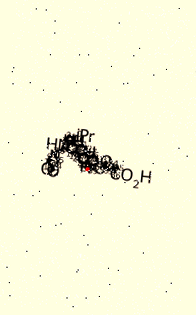 CC(C)[C@@H]1CC[C@]2(NCCN3CCS(=O)(=O)CC3)CC[C@]3(C)[C@H](CC[C@@H]4[C@@]5(C)CC[C@H](OC(=O)CC(C)(C)C(=O)O)C(C)(C)[C@@H]5CC[C@]43C)[C@@H]12